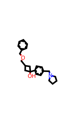 OC1(c2ccc(CN3CCCC3)cc2)CC(COCc2ccccc2)C1